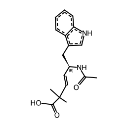 CC(=O)N[C@@H](C=CC(C)(C)C(=O)O)Cc1c[nH]c2ccccc12